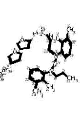 C1CCOC1.C1CCOC1.CCC[N]([Ti+2][N](CCC)c1cccc(C)c1C)c1cccc(C)c1C.[Br-].[Br-]